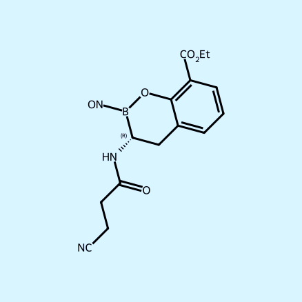 CCOC(=O)c1cccc2c1OB(N=O)[C@@H](NC(=O)CCC#N)C2